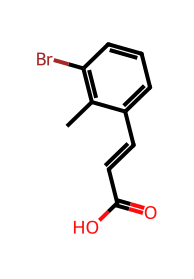 Cc1c(Br)cccc1C=CC(=O)O